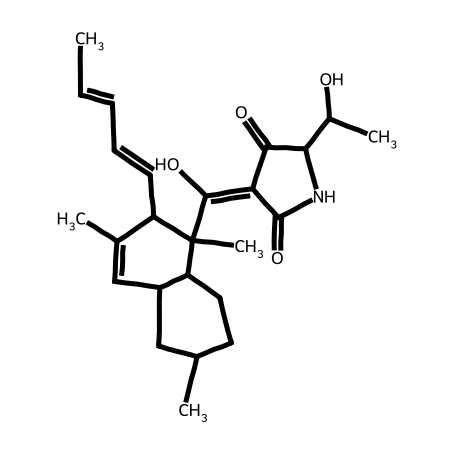 C/C=C/C=C/C1C(C)=CC2CC(C)CCC2C1(C)/C(O)=C1\C(=O)NC(C(C)O)C1=O